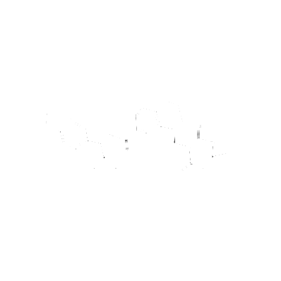 CCC1(CC)CC(=O)N(C[C@@H]2CCOc3ccc(C(=O)NC4c5ccc(OC)cc5OCC4(C)O)cc32)C(=N)N1